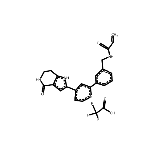 C=CC(=O)NCc1cccc(-c2cc(-c3cc4c([nH]3)CCNC4=O)ccn2)c1.O=C(O)C(F)(F)F